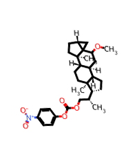 COC1C[C@H]2[C@@H]3CC[C@H]([C@H](C)COC(=O)Oc4ccc([N+](=O)[O-])cc4)[C@@]3(C)CC[C@@H]2[C@@]2(C)CC[C@@H]3CC132